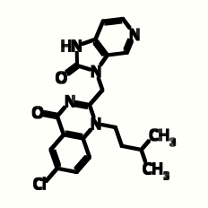 CC(C)CCn1c(Cn2c(=O)[nH]c3ccncc32)nc(=O)c2cc(Cl)ccc21